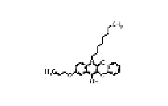 C=CCOc1ccc2c(c1)c(O)c(Oc1ccccc1)c(=O)n2CCCCCCCC